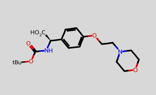 CC(C)(C)OC(=O)N[C@@H](C(=O)O)c1ccc(OCCN2CCOCC2)cc1